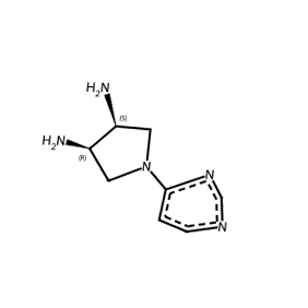 N[C@@H]1CN(c2ccncn2)C[C@@H]1N